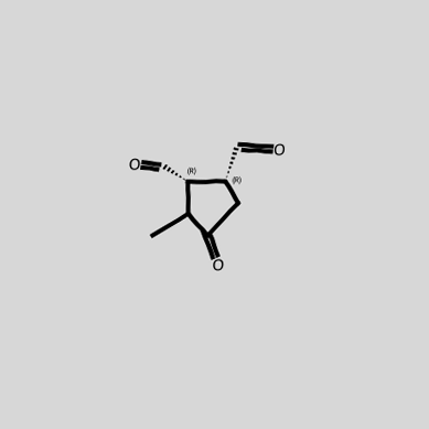 CC1C(=O)C[C@@H](C=O)[C@H]1C=O